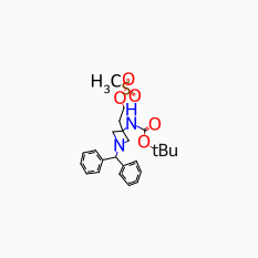 CC(C)(C)OC(=O)NC1(CCOS(C)(=O)=O)CN(C(c2ccccc2)c2ccccc2)C1